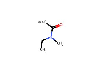 COC(=O)N(C)C[SiH3]